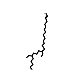 [CH2]C=CCCCCCCCCCCCC(CC)CCCC(CC)CCCC[CH2]